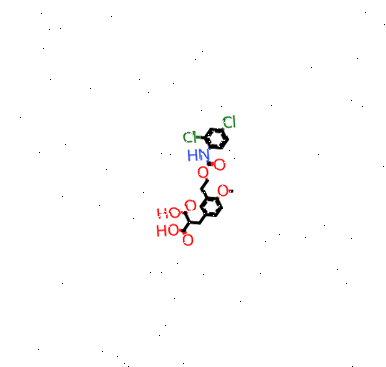 COc1ccc(CC(C(=O)O)C(=O)O)cc1CCOC(=O)Nc1ccc(Cl)cc1Cl